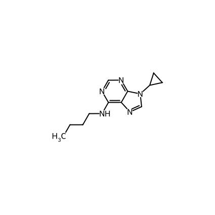 CCCCNc1ncnc2c1ncn2C1CC1